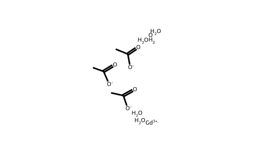 CC(=O)[O-].CC(=O)[O-].CC(=O)[O-].O.O.O.O.O.[Gd+3]